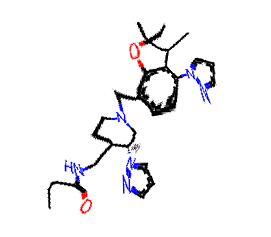 CCC(=O)NCC1CCN(Cc2ccc(-n3cccn3)c3c2OC(C)(C)C3C)C[C@@H]1n1cccn1